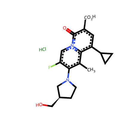 Cc1c(N2CC[C@@H](CO)C2)c(F)cn2c(=O)c(C(=O)O)cc(C3CC3)c12.Cl